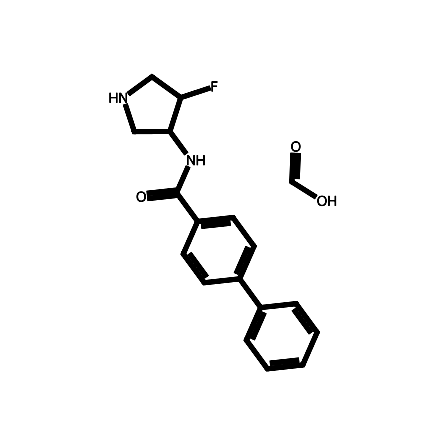 O=C(NC1CNCC1F)c1ccc(-c2ccccc2)cc1.O=CO